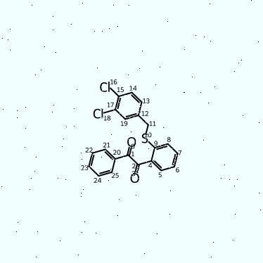 O=C(C(=O)c1ccccc1SCc1ccc(Cl)c(Cl)c1)c1ccccc1